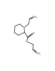 C=CCOC(=O)C1CCCCN1CC=C